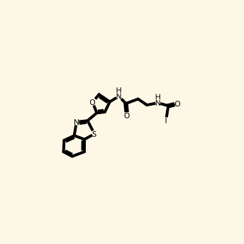 O=C(I)NCCC(=O)Nc1coc(-c2nc3ccccc3s2)c1